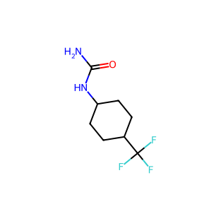 NC(=O)NC1CCC(C(F)(F)F)CC1